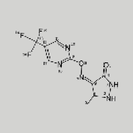 CC1NNC(=O)C1=NOc1ncc(C(F)(F)F)cn1